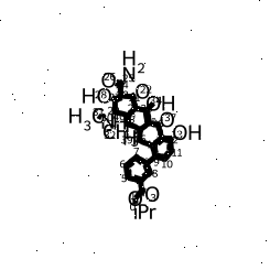 CC(C)OC(=O)c1cccc(-c2ccc(O)c3c2C[C@H]2C[C@@H]4C(C(=O)C(C(N)=O)=C(O)[C@H]4N(C)C)C(O)=C2C3=O)c1